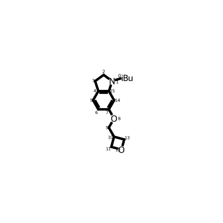 CCC(C)N1CCc2ccc(OCC3COC3)cc21